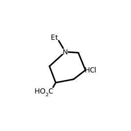 CCN1CCCC(C(=O)O)C1.Cl